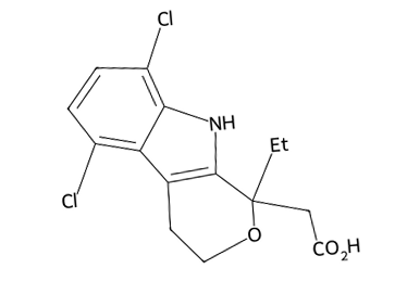 CCC1(CC(=O)O)OCCc2c1[nH]c1c(Cl)ccc(Cl)c21